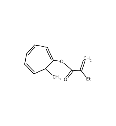 C=C(CC)C(=O)OC1=CC=CC=CC1C